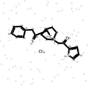 O=C(C[N+]12CCC(CC1)C(C(=S)Cc1ccccc1)C2)c1cccs1.[Cl-]